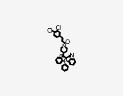 N#CC(C(=O)C1CCN(C(=O)C=Cc2ccc(Cl)c(Cl)c2)CC1)=P(c1ccccc1)(c1ccccc1)c1ccccc1